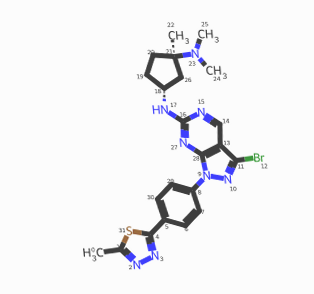 Cc1nnc(-c2ccc(-n3nc(Br)c4cnc(N[C@@H]5CC[C@@](C)(N(C)C)C5)nc43)cc2)s1